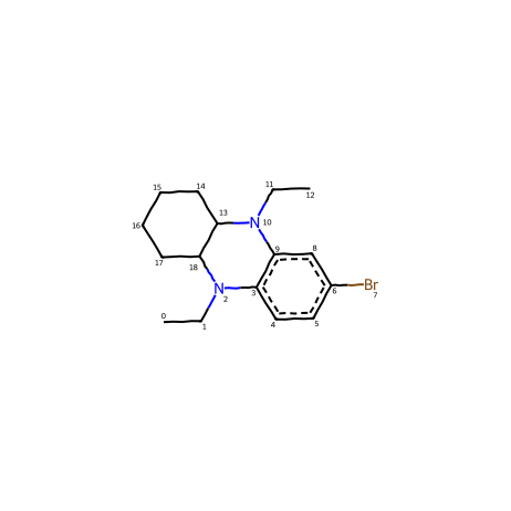 CCN1c2ccc(Br)cc2N(CC)C2CCCCC21